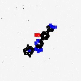 C[C@]12CC[C@](C)(CC(n3nnc4cc(-c5ccc(-c6cn[nH]c6)cc5O)nnc43)C1)N2